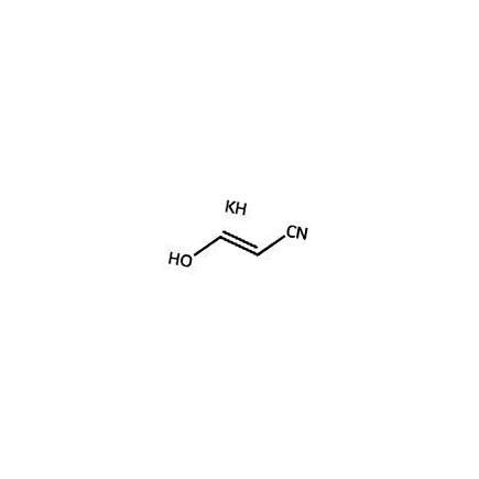 N#CC=CO.[KH]